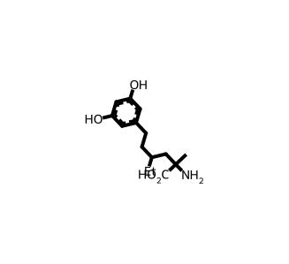 CCC(CCc1cc(O)cc(O)c1)CC(C)(N)C(=O)O